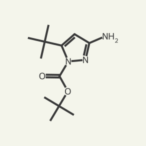 CC(C)(C)OC(=O)n1nc(N)cc1C(C)(C)C